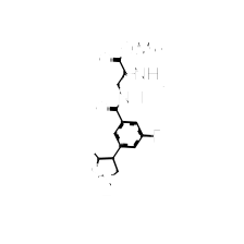 CCC1SNCC1c1cc(F)cc(C(=O)NC[C@@H](N)C(=O)OC)c1